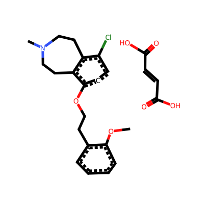 COc1ccccc1CCOc1ccc(Cl)c2c1CCN(C)CC2.O=C(O)C=CC(=O)O